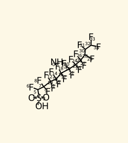 N.O=S(=O)(O)C(F)C(F)(F)C(F)(F)C(F)(F)C(F)(F)C(F)(F)C(F)(F)C(F)(F)C(F)C(F)C(F)F